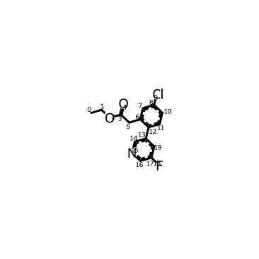 CCOC(=O)Cc1cc(Cl)ccc1-c1cncc(F)c1